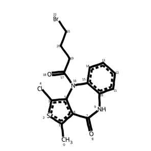 Cc1sc(Cl)c2c1C(=O)Nc1ccccc1N2C(=O)CCCBr